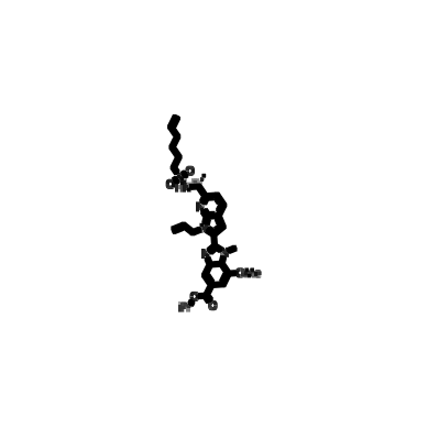 C=CCCCCS(=O)(=O)N[C@H](C)c1ccc2cc(C3=NC4C=C(C(=O)OC(C)C)C=C(OC)C4N3C)n(CC=C)c2n1